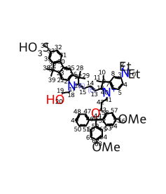 CCN(CC)c1ccc2c(c1)C(C)(C)C(/C=C/C=C1/N(CCO)c3cc4c(cc3C1(C)C)-c1ccc(S(=O)(=O)O)cc1C4(C)C)=[N+]2CCCOC(c1ccccc1)(c1ccc(OC)cc1)c1ccc(OC)cc1